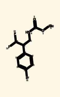 CC(C)(C)OC(=O)NCC(c1ccc(Br)cc1)C(F)F